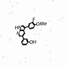 COc1ccc(-c2c[nH]c3ncc(-c4cccc(O)c4)cc23)cc1F